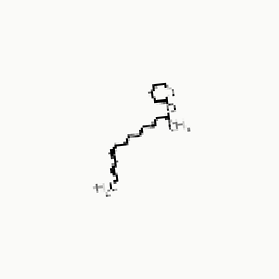 [CH2]CCC/C=C\CCCCCCC(C)OC1CCCCO1